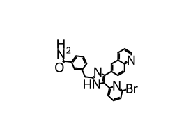 NC(=O)c1cccc(Cc2nc(-c3ccc4ncccc4c3)c(-c3cccc(Br)n3)[nH]2)c1